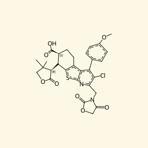 COc1ccc(-c2c(Cl)c(CN3C(=O)COC3=O)nc3sc4c(c23)CC[C@H](C(=O)O)C4[C@H]2C(=O)OCC2(C)C)cc1